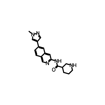 Cn1cc(-c2ccc3cnc(NC(=O)C4CCCNC4)cc3c2)cn1